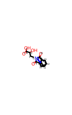 CCC(O)C(=O)O.O=C1c2cc3ccc2c(=O)n31